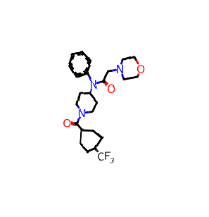 O=C(C1CCC(C(F)(F)F)CC1)N1CCC(N(C(=O)CN2CCOCC2)c2ccccc2)CC1